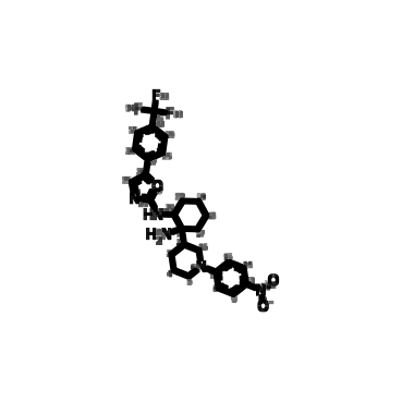 NC1(C2CCCN(c3ccc([N+](=O)[O-])cc3)C2)CCCCC1Nc1ncc(-c2ccc(C(F)(F)F)cc2)o1